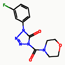 O=C(N1CCOCC1)n1nnn(-c2cccc(F)c2)c1=O